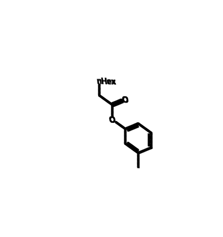 CCCCCCCC(=O)Oc1cccc(C)c1